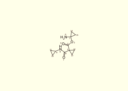 NC1(OC(=O)C2(C(=O)NC3CC3)CC2)CC1